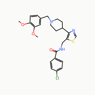 COc1ccc(CN2CCC(c3ncsc3CNC(=O)c3ccc(Cl)cc3)CC2)cc1OC